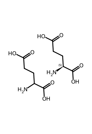 NC(CCC(=O)O)C(=O)O.N[C@@H](CCC(=O)O)C(=O)O